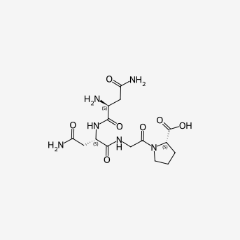 NC(=O)C[C@H](NC(=O)[C@@H](N)CC(N)=O)C(=O)NCC(=O)N1CCC[C@H]1C(=O)O